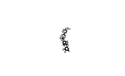 CCCCC1CCC(C2COC(C(F)(F)Oc3cc(F)c(C(F)(F)Oc4cc(F)c(F)c(F)c4)c(F)c3)OC2)OC1